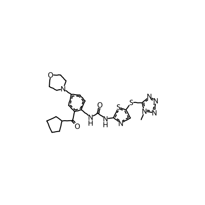 Cn1nnnc1Sc1cnc(NC(=O)Nc2ccc(N3CCOCC3)cc2C(=O)C2CCCC2)s1